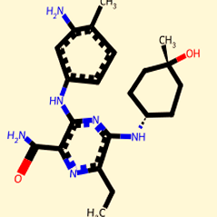 CCc1nc(C(N)=O)c(Nc2ccc(C)c(N)c2)nc1N[C@H]1CC[C@@](C)(O)CC1